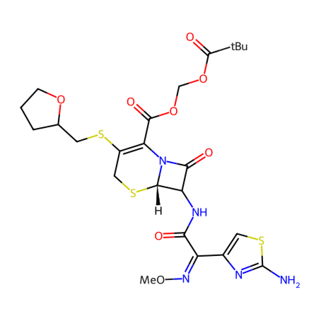 CO/N=C(\C(=O)NC1C(=O)N2C(C(=O)OCOC(=O)C(C)(C)C)=C(SCC3CCCO3)CS[C@@H]12)c1csc(N)n1